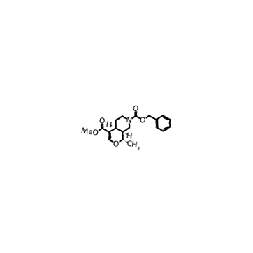 COC(=O)C1=CO[C@@H](C)[C@@H]2CN(C(=O)OCc3ccccc3)CC[C@H]12